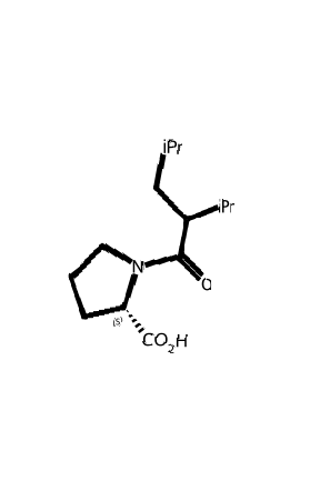 CC(C)CC(C(=O)N1CCC[C@H]1C(=O)O)C(C)C